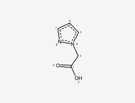 O=C(O)Cn1c[c]cn1